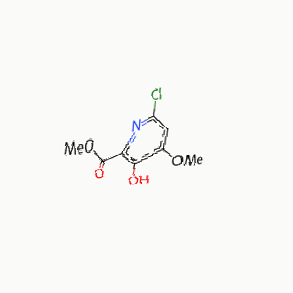 COC(=O)c1nc(Cl)cc(OC)c1O